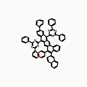 c1ccc(-c2ccc3c(-c4nc(-c5ccccc5)nc(-c5ccccc5)n4)c4cc5c(-c6ccccc6)c(-c6ccc7ccccc7c6)c6ccccc6c5cc4c(-c4nc(-c5ccccc5)nc(-c5ccccc5)n4)c3c2)cc1